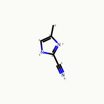 CC1=C[N]C(C#N)=N1